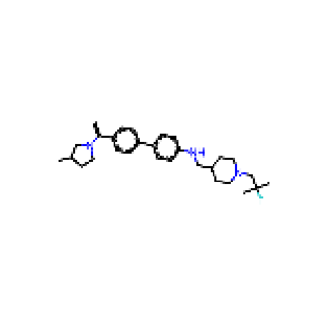 C=C(c1ccc(-c2ccc(NCC3CCN(CC(C)(C)F)CC3)cc2)cc1)N1CCC(C)C1